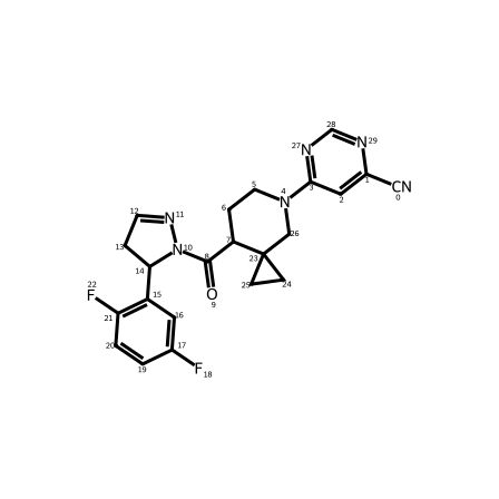 N#Cc1cc(N2CCC(C(=O)N3N=CCC3c3cc(F)ccc3F)C3(CC3)C2)ncn1